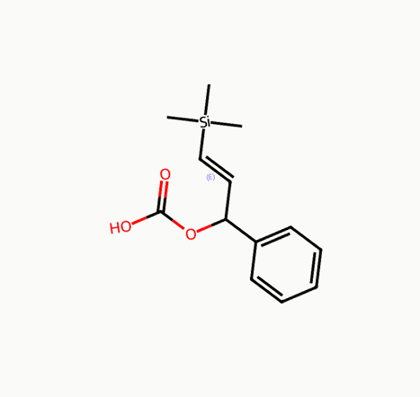 C[Si](C)(C)/C=C/C(OC(=O)O)c1ccccc1